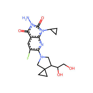 Nn1c(=O)c2cc(F)c(N3CC(C(O)CO)C4(CC4)C3)nc2n(C2CC2)c1=O